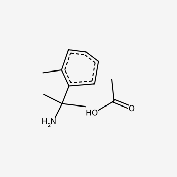 CC(=O)O.Cc1ccccc1C(C)(C)N